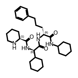 O=C(N[C@@H](C(=O)N[C@H](CCCc1ccccc1)C(=O)NC1CCCCC1)C1CCCCC1)[C@@H]1CCCCN1